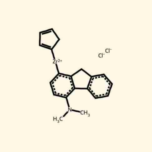 CN(C)c1cc[c]([Zr+2][C]2=CC=CC2)c2c1-c1ccccc1C2.[Cl-].[Cl-]